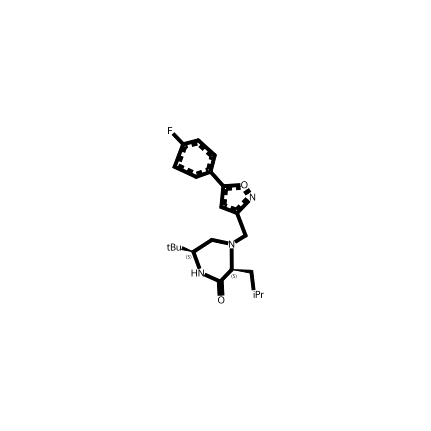 CC(C)C[C@H]1C(=O)N[C@@H](C(C)(C)C)CN1Cc1cc(-c2ccc(F)cc2)on1